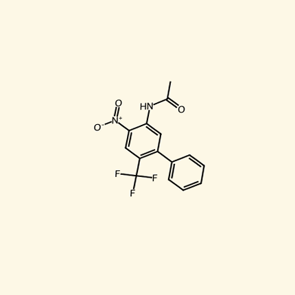 CC(=O)Nc1cc(-c2ccccc2)c(C(F)(F)F)cc1[N+](=O)[O-]